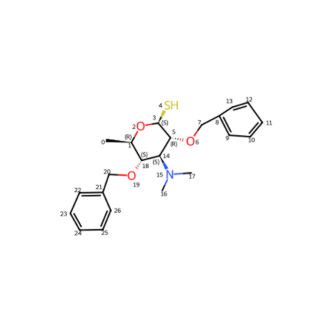 C[C@H]1O[C@@H](S)[C@H](OCc2ccccc2)[C@@H](N(C)C)[C@@H]1OCc1ccccc1